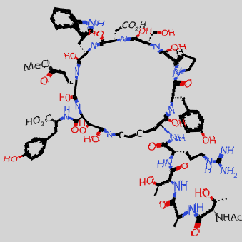 COC(=O)CC[C@@H]1N=C(O)[C@H](Cc2c[nH]c3ccccc23)N=C(O)[C@H](CC(=O)O)N=C(O)[C@H](CO)N=C(O)[C@@H]2CCCN2C(=O)[C@H](Cc2ccc(O)cc2)N=C(O)[C@@H](NC(=O)[C@H](CCCNC(=N)N)NC(=O)[C@@H](NC(=O)[C@H](C)NC(=O)[C@@H](NC(C)=O)[C@@H](C)O)[C@@H](C)O)CCCCN=C(O)[C@@H](O)[C@@H](C(=O)N[C@@H](Cc2ccc(O)cc2)C(=O)O)N=C1O